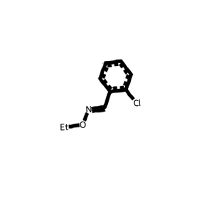 CCON=Cc1c[c]ccc1Cl